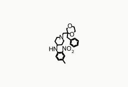 Cc1ccc(NC2CCN(CC3(Cc4ccccc4)COCCO3)CC2)c([N+](=O)[O-])c1